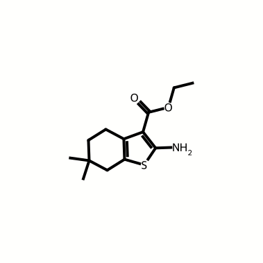 CCOC(=O)c1c(N)sc2c1CCC(C)(C)C2